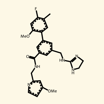 COc1ccnc(CNC(=O)c2cc(CNC3=NCCN3)cc(-c3cc(C)c(F)cc3OC)c2)c1